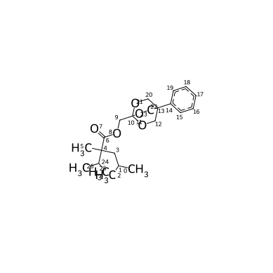 CC(C)CC(C)(C(=O)OCC12OCC(c3ccccc3)(CO1)CO2)C(C)C